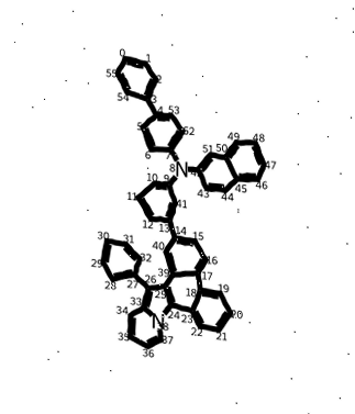 c1ccc(-c2ccc(N(c3cccc(-c4ccc5c6ccccc6c6c(c(-c7ccccc7)c7ccccn76)c5c4)c3)c3ccc4ccccc4c3)cc2)cc1